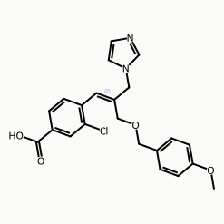 COc1ccc(COC/C(=C\c2ccc(C(=O)O)cc2Cl)Cn2ccnc2)cc1